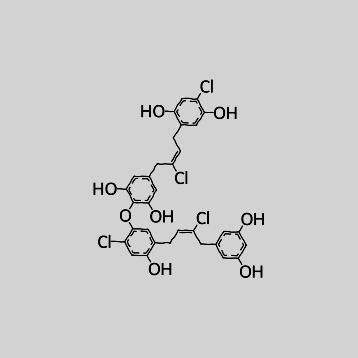 Oc1cc(O)cc(C/C(Cl)=C\Cc2cc(Oc3c(O)cc(C/C(Cl)=C\Cc4cc(O)c(Cl)cc4O)cc3O)c(Cl)cc2O)c1